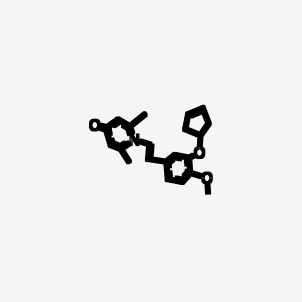 COc1ccc(C=Cn2c(C)cc(=O)cc2C)cc1OC1CC=CC1